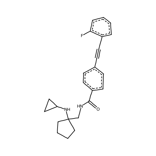 O=C(NCC1(NC2CC2)CCCC1)c1ccc(C#Cc2ccccc2F)cc1